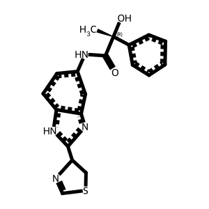 C[C@](O)(C(=O)Nc1ccc2[nH]c(C3CSC=N3)nc2c1)c1ccccc1